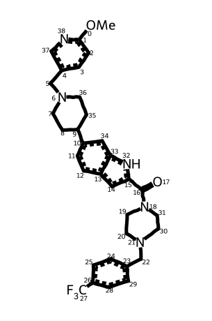 COc1ccc(CN2CCC(c3ccc4cc(C(=O)N5CCN(Cc6ccc(C(F)(F)F)cc6)CC5)[nH]c4c3)CC2)cn1